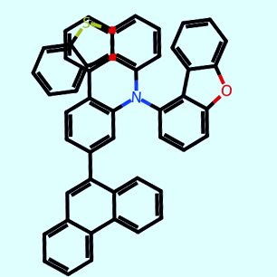 c1ccc(-c2ccc(-c3cc4ccccc4c4ccccc34)cc2N(c2cccc3oc4ccccc4c23)c2cccc3sc4ccccc4c23)cc1